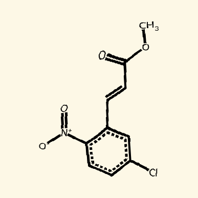 COC(=O)C=Cc1cc(Cl)ccc1[N+](=O)[O-]